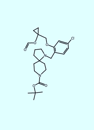 CC(C)(C)OC(=O)N1CCC2(CCCN2Cc2ccc(Cl)cc2OCC2(OC=O)CC2)CC1